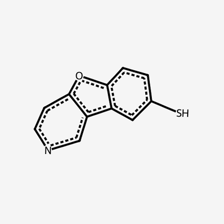 Sc1ccc2oc3ccncc3c2c1